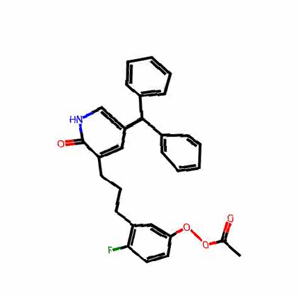 CC(=O)OOc1ccc(F)c(CCCc2cc(C(c3ccccc3)c3ccccc3)c[nH]c2=O)c1